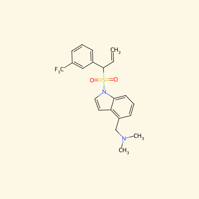 C=CC(c1cccc(C(F)(F)F)c1)S(=O)(=O)n1ccc2c(CN(C)C)cccc21